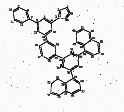 C1=CC=C(c2cc(-c3ccccc3)cc(-c3cccc(-c4nc(-c5cccc6c5CCC=C6)cc(-c5cccc6ccccc56)n4)c3)c2)C=1